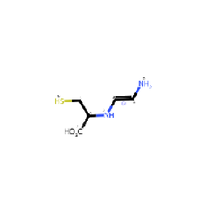 N/C=C/NC(CS)C(=O)O